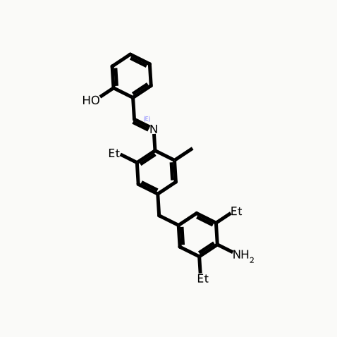 CCc1cc(Cc2cc(C)c(/N=C/c3ccccc3O)c(CC)c2)cc(CC)c1N